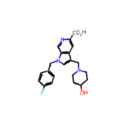 O=C(O)c1cc2c(CN3CCC(O)CC3)cn(Cc3ccc(F)cc3)c2cn1